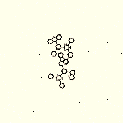 c1ccc(-c2cc(-c3nc(-c4ccccc4)nc(-c4cccc(-c5ccc6c(-c7cc(-c8nc(-c9ccccc9)nc(-c9ccccc9)n8)cc(-c8cccc9cccnc89)c7)ccc7c6c5-c5ccccc5-7)c4)n3)cc(-c3c4ccccc4cc4ccccc34)c2)cc1